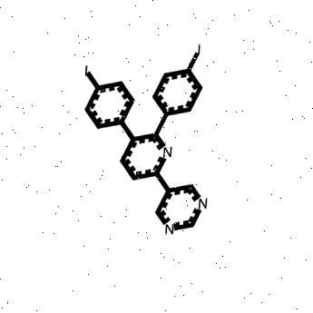 Ic1ccc(-c2ccc(-c3cncnc3)nc2-c2ccc(I)cc2)cc1